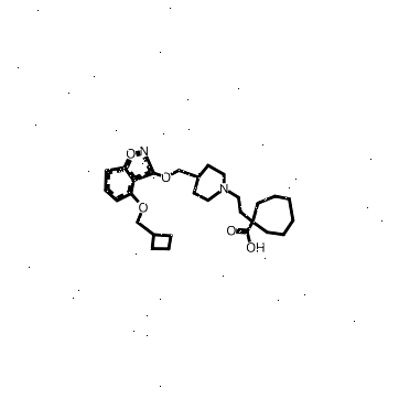 O=C(O)C1(CCN2CCC(COc3noc4cccc(OCC5CCC5)c34)CC2)CCCCCC1